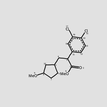 COC(=O)C(CC1CCC(OC)C1)c1ccc(Cl)c(Cl)c1